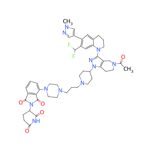 CC(=O)N1CCc2c(c(N3CCCc4cc(-c5cnn(C)c5)c(C(F)F)cc43)nn2C2CCN(CCCN3CCN(c4cccc5c4C(=O)N(C4CCC(=O)NC4=O)C5=O)CC3)CC2)C1